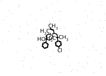 CC(C)=CC(CC(C)(C)c1ccc(Cl)cc1)N1CCC(O)(c2ccccc2)CC1